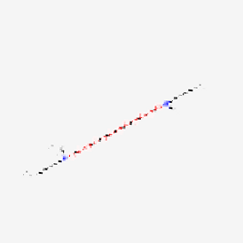 CCCCCCCC/C=C/CCCCCCCCN(CCOCCOCCOCCOCCOCCOCCOCCOCCOCCOCCOCCOCCN(CCCCCCCC/C=C/CCCCCCCC)CCC(=O)O)CCC(=O)O